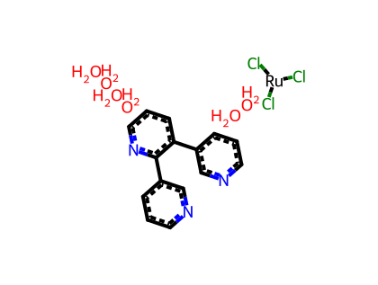 O.O.O.O.O.O.[Cl][Ru]([Cl])[Cl].c1cncc(-c2cccnc2-c2cccnc2)c1